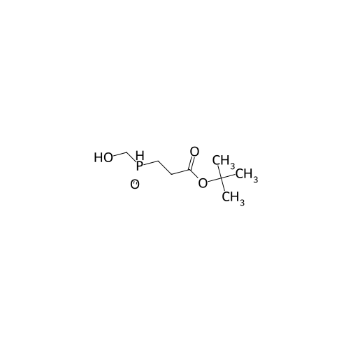 CC(C)(C)OC(=O)CC[PH](=O)CO